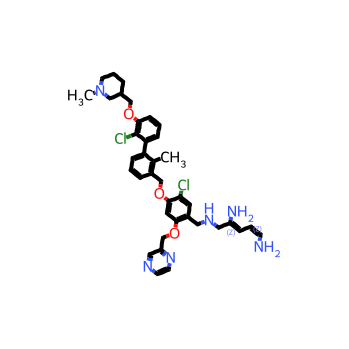 Cc1c(COc2cc(OCc3cnccn3)c(CNC/C(N)=C/C=C\N)cc2Cl)cccc1-c1cccc(OCC2CCCN(C)C2)c1Cl